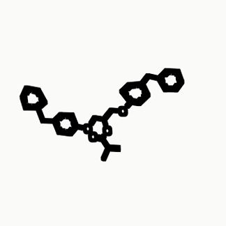 C=C(C)C(=O)OC(COc1ccc(Cc2ccccc2)cc1)COc1ccc(Cc2ccccc2)cc1